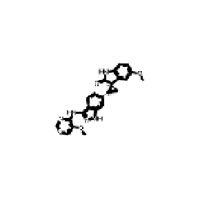 COc1ccc2c(c1)[C@@]1(C[C@@H]1c1ccc3c(Nc4ncncc4OC)n[nH]c3c1)C(=O)N2